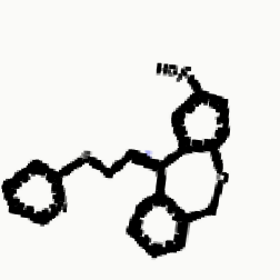 O=C(O)c1ccc2c(c1)/C(=C/CSc1ccccn1)c1ccccc1CO2